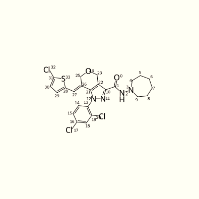 O=C(NN1CCCCCC1)c1nn(-c2ccc(Cl)cc2Cl)c2c1COCC2=Cc1ccc(Cl)s1